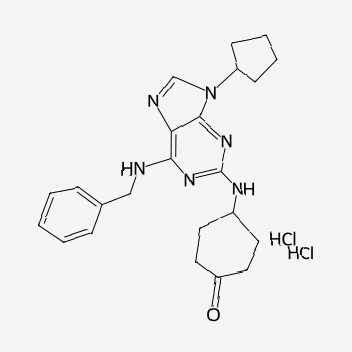 Cl.Cl.O=C1CCC(Nc2nc(NCc3ccccc3)c3ncn(C4CCCC4)c3n2)CC1